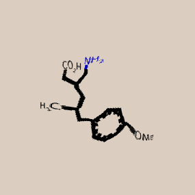 COc1ccc(CC(C)CC(CN)CC(=O)O)cc1